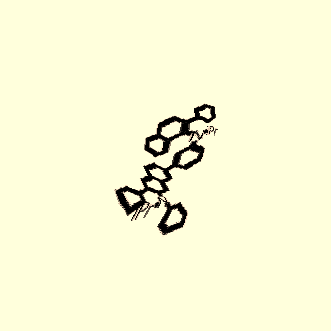 CC(C)N(c1ccccc1)c1cc2cc(-c3cccc(N(c4c(-c5ccccc5)ccc5ccccc45)C(C)C)c3)ccc2cc1-c1ccccc1